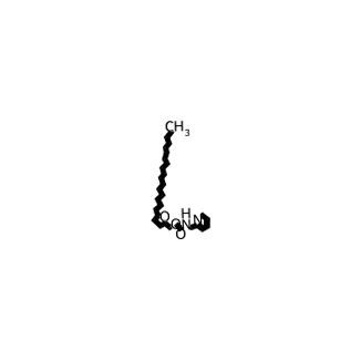 CCCCCCCCCCCCCCCCCC1CCC(COC(=O)NCc2ccccn2)O1